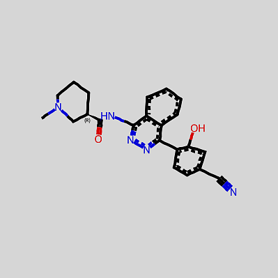 CN1CCC[C@@H](C(=O)Nc2nnc(-c3ccc(C#N)cc3O)c3ccccc23)C1